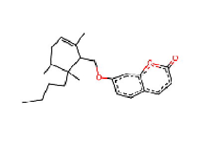 CCCCC1(C)C(C)CC=C(C)C1COc1ccc2ccc(=O)oc2c1